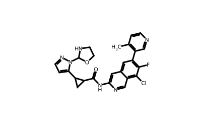 Cc1ccncc1-c1cc2cc(NC(=O)C3CC3c3ccnn3C3NCCO3)ncc2c(Cl)c1F